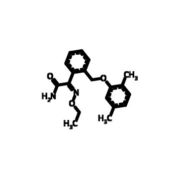 CCON=C(C(N)=O)c1ccccc1COc1cc(C)ccc1C